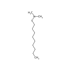 CCCCCCCCCSN(C)C